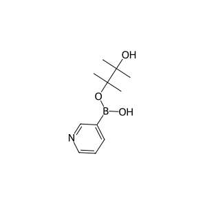 CC(C)(O)C(C)(C)OB(O)c1cccnc1